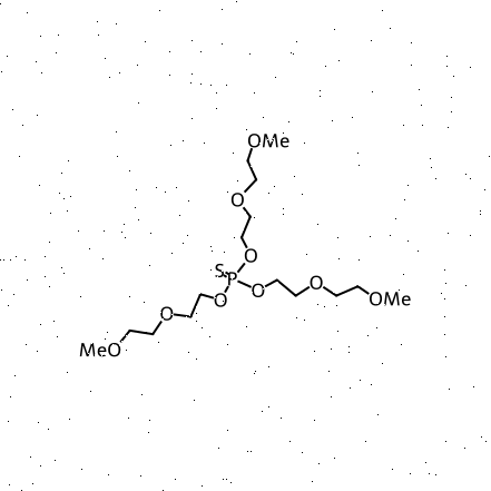 COCCOCCOP(=S)(OCCOCCOC)OCCOCCOC